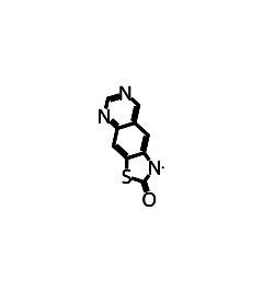 O=C1[N]c2cc3cncnc3cc2S1